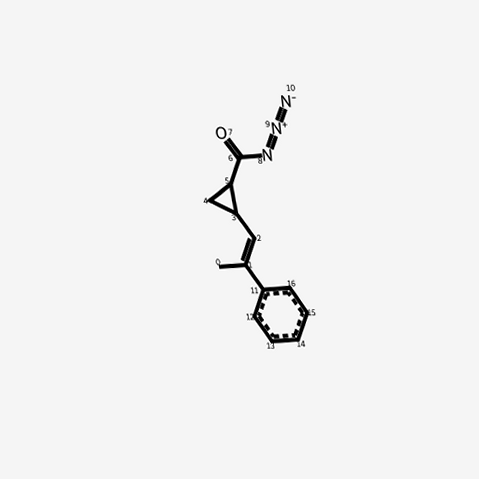 C/C(=C\C1CC1C(=O)N=[N+]=[N-])c1ccccc1